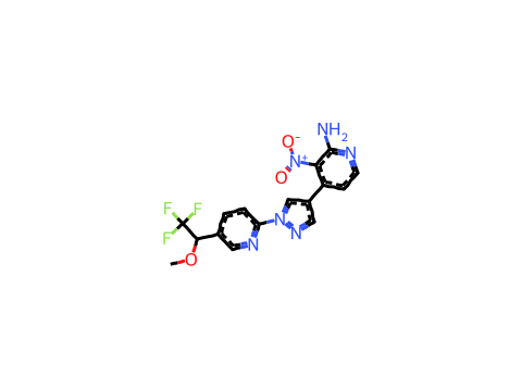 COC(c1ccc(-n2cc(-c3ccnc(N)c3[N+](=O)[O-])cn2)nc1)C(F)(F)F